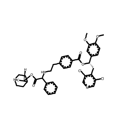 COc1ccc([C@H](Cc2c(Cl)cncc2Cl)OC(=O)c2ccc(CCNC(C(=O)O[C@H]3CN4CCC3CC4)c3ccccc3)cc2)cc1OC